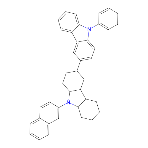 c1ccc(-n2c3ccccc3c3cc(C4CCC5C(C4)C4CCCCC4N5c4ccc5ccccc5c4)ccc32)cc1